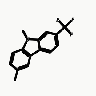 Cc1ccc2c(c1)c1ccc(C(F)(F)F)cc1n2C